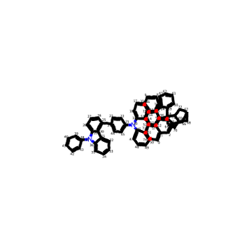 C1=c2cccc(-c3ccccc3)c2=C(c2ccccc2N(c2ccc(-c3cccc4c3c3ccccc3n4-c3ccccc3)cc2)c2ccccc2-c2ccc3c(c2)C2(c4ccccc4-3)C3CC4CC(C3)C2C4)CC1